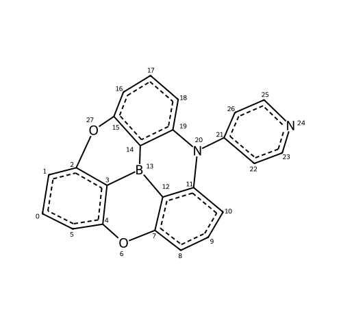 c1cc2c3c(c1)Oc1cccc4c1B3c1c(cccc1N4c1ccncc1)O2